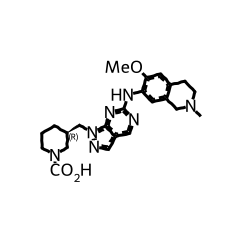 COc1cc2c(cc1Nc1ncc3cnn(C[C@@H]4CCCN(C(=O)O)C4)c3n1)CN(C)CC2